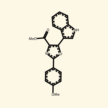 COC(=O)c1nc(-c2ccc(OC)cc2)oc1-c1c[nH]c2ccccc12